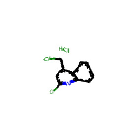 Cl.ClCc1cc(Cl)nc2ccccc12